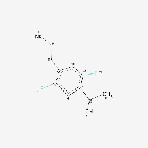 CC(C#N)c1cc(F)c(CCC#N)cc1F